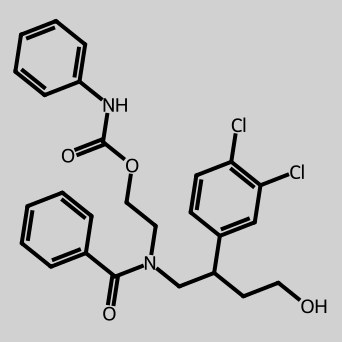 O=C(Nc1ccccc1)OCCN(CC(CCO)c1ccc(Cl)c(Cl)c1)C(=O)c1ccccc1